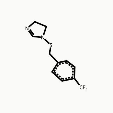 FC(F)(F)c1ccc(CSN2C=NCC2)cc1